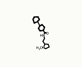 CN1CCCC1CCNC(=O)c1ccc(-c2ccccc2)cc1